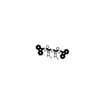 NC(COCC(N)C(=O)OCC1c2ccccc2-c2ccccc21)C(=O)OCC1c2ccccc2-c2ccccc21